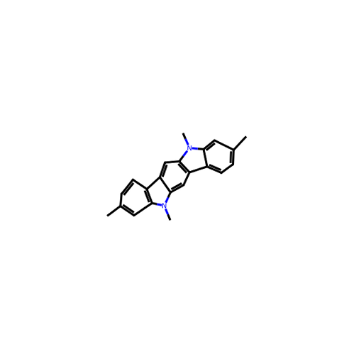 Cc1ccc2c3cc4c(cc3n(C)c2c1)c1ccc(C)cc1n4C